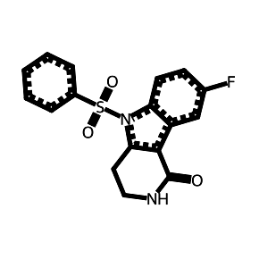 O=C1NCCc2c1c1cc(F)ccc1n2S(=O)(=O)c1ccccc1